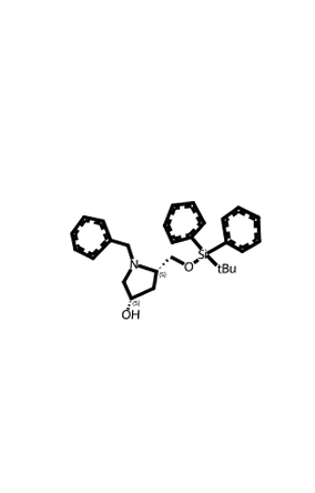 CC(C)(C)[Si](OC[C@@H]1C[C@H](O)CN1Cc1ccccc1)(c1ccccc1)c1ccccc1